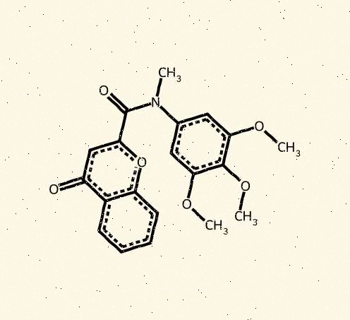 COc1cc(N(C)C(=O)c2cc(=O)c3ccccc3o2)cc(OC)c1OC